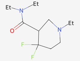 CCN1CCC(F)(F)C(C(=O)N(CC)CC)C1